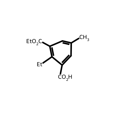 CCOC(=O)c1cc(C)cc(C(=O)O)c1CC